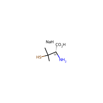 CC(C)(S)[C@@H](N)C(=O)O.[NaH]